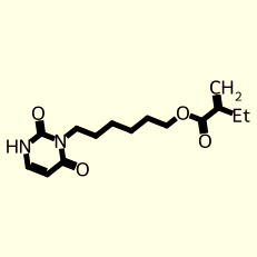 C=C(CC)C(=O)OCCCCCCn1c(=O)cc[nH]c1=O